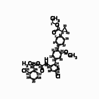 CCOC(=O)C1(c2ccc(-c3ccc(-c4sc(Cl)cc4NC(=O)O[C@H](C)c4ccccc4Cl)cc3OC)cc2)CC1